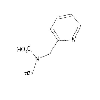 CC(C)(C)N(Cc1ccccn1)C(=O)O